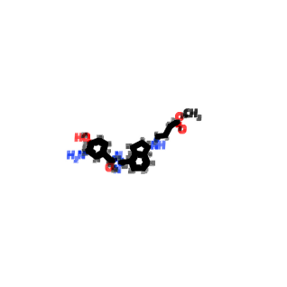 COC(=O)CCCN[C@H]1CCc2c(-c3noc(-c4ccc(O)c(N)c4)n3)cccc21